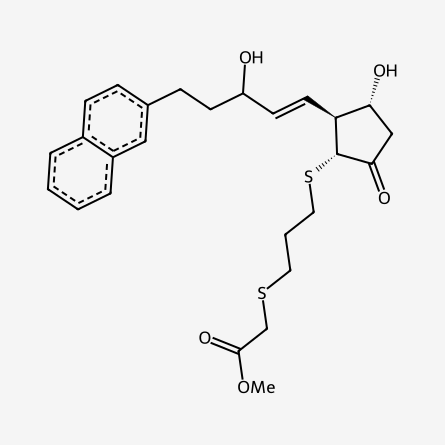 COC(=O)CSCCCS[C@H]1C(=O)C[C@@H](O)[C@@H]1/C=C/C(O)CCc1ccc2ccccc2c1